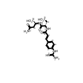 N=C(N)Nc1ccc(C=CC(=O)N[C@@H](CC(=O)O)C(=O)N[C@@H](CC(N)=O)C(=O)O)cc1